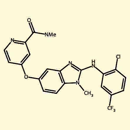 CNC(=O)c1cc(Oc2ccc3c(c2)nc(Nc2cc(C(F)(F)F)ccc2Cl)n3C)ccn1